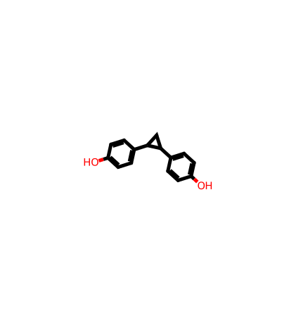 Oc1ccc(C2CC2c2ccc(O)cc2)cc1